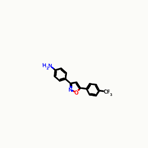 Nc1ccc(-c2cc(-c3ccc(C(F)(F)F)cc3)on2)cc1